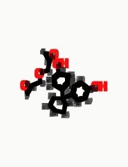 C(OCC1CO1)C1CO1.Oc1ccc(C2(c3ccc(O)cc3)CCCCC2)cc1